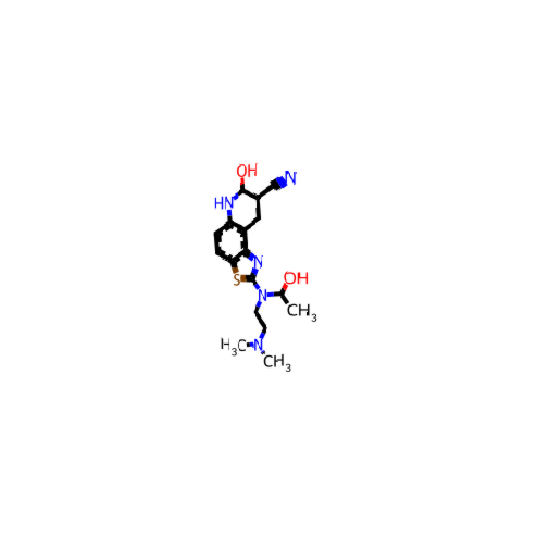 CC(O)N(CCN(C)C)c1nc2c3c(ccc2s1)NC(O)C(C#N)C3